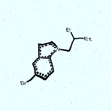 CCC(CC)Cn1ccc2cc(Br)ccc21